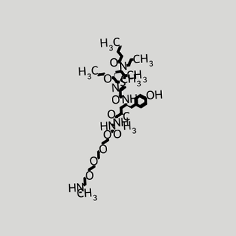 CCCCC(=O)N(CCC)C(C[C@@H](OCCC)c1nc(C(=O)N[C@@H](Cc2ccc(O)cc2)C[C@H](C)C(=O)NNC(=O)OCCOCCOCCOCCNC)cs1)C(C)C